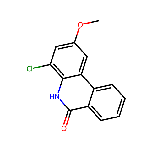 COc1cc(Cl)c2[nH]c(=O)c3ccccc3c2c1